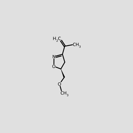 C=C(C)C1=NO[C@H](COC)C1